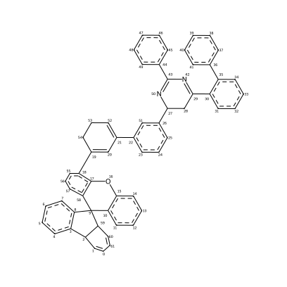 C1=CC2c3ccccc3C3(c4ccccc4Oc4c(C5=CC(c6cccc(C7CC(c8ccccc8-c8ccccc8)=NC(c8ccccc8)=N7)c6)=CCC5)cccc43)C2C=C1